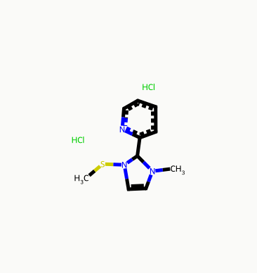 CSN1C=CN(C)C1c1ccccn1.Cl.Cl